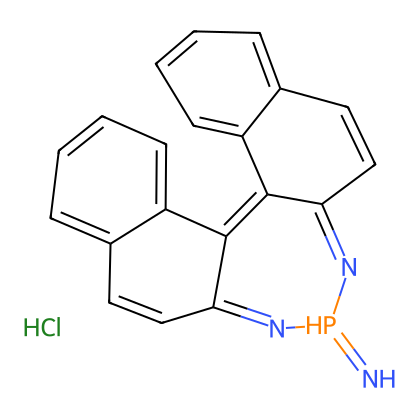 Cl.N=[PH]1N=c2ccc3ccccc3c2=c2c(ccc3ccccc23)=N1